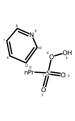 CCCS(=O)(=O)OO.c1ccncc1